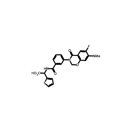 CNc1cc2c(cc1F)C(=O)N(c1cccc(C(=O)NC(C(=O)O)c3cccs3)c1)CO2